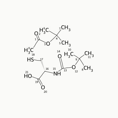 CC(=O)OC(C)(C)C.CC(C)(C)OC(=O)N[C@@H](CS)C(=O)O